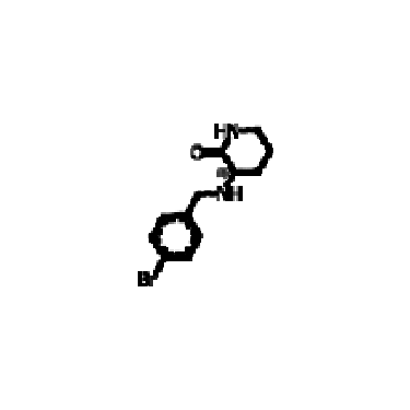 O=C1NCCC[C@H]1NCc1ccc(Br)cc1